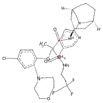 CC(C)(Oc1ccc(Cl)cc1N1CCOCC1)C(=O)N[C@H]1C[C@H]2CC[C@@H](C1)N2c1ccc(C(=O)NCC(F)(F)F)cn1